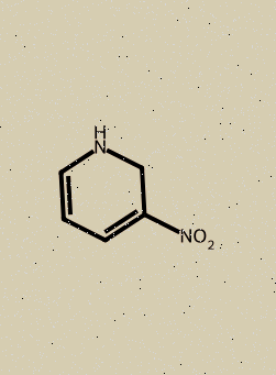 O=[N+]([O-])C1=CC=CNC1